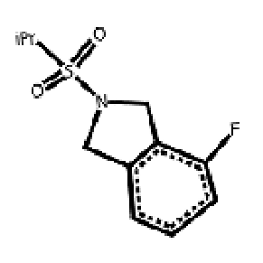 CC(C)S(=O)(=O)N1Cc2cccc(F)c2C1